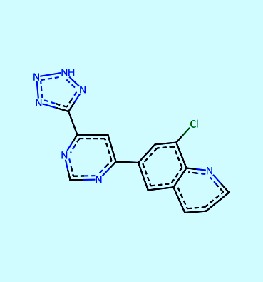 Clc1cc(-c2cc(-c3nn[nH]n3)ncn2)cc2cccnc12